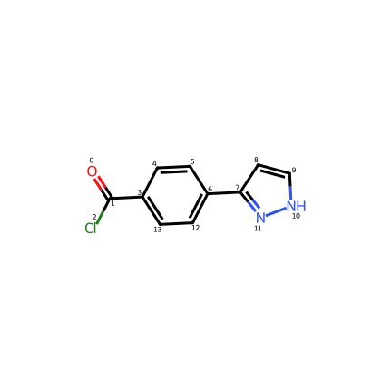 O=C(Cl)c1ccc(-c2cc[nH]n2)cc1